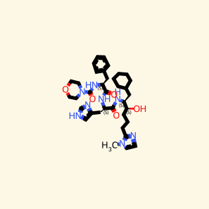 Cn1ccnc1CCC[C@H](O)[C@H](CC1CCCCC1)NC(=O)[C@H](Cc1c[nH]cn1)NC(=O)[C@H](Cc1ccccc1)NC(=O)N1CCOCC1